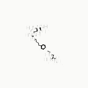 N=C(NCCCCc1ccc(OCCNCC(N)C(N)=O)cc1)NC(=O)c1nc(Cl)c(N)nc1N